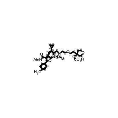 CNC(=O)c1c(-c2ccc(C)cc2)oc2nc(CN(CCOCCC3(OC(=O)O)CCOCC3)[SH](=O)=O)c(C3CC3)cc12